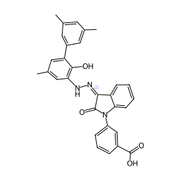 Cc1cc(C)cc(-c2cc(C)cc(N/N=C3\C(=O)N(c4cccc(C(=O)O)c4)c4ccccc43)c2O)c1